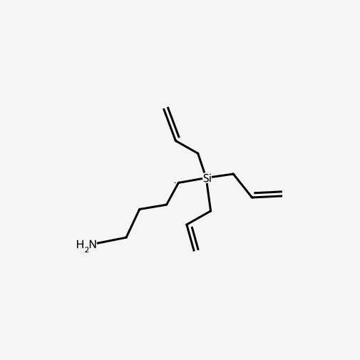 C=CC[Si]([CH]CCCN)(CC=C)CC=C